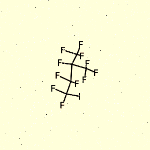 FC(F)(F)C(F)(C(F)(F)F)C(F)(F)C(F)(F)I